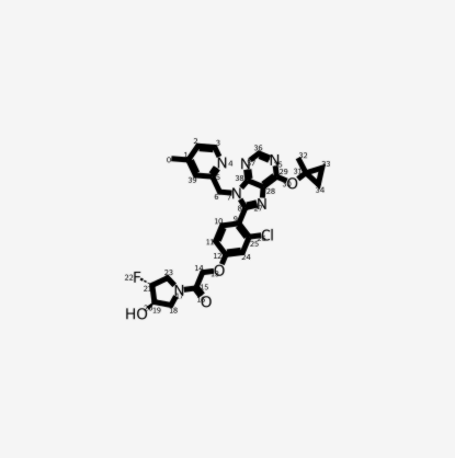 Cc1ccnc(Cn2c(-c3ccc(OCC(=O)N4C[C@@H](O)[C@H](F)C4)cc3Cl)nc3c(OC4(C)CC4)ncnc32)c1